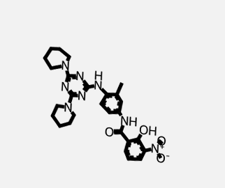 Cc1cc(NC(=O)c2cccc([N+](=O)[O-])c2O)ccc1Nc1nc(N2CCCCC2)nc(N2CCCCC2)n1